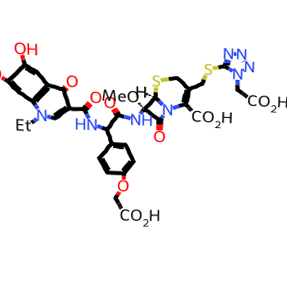 CCn1cc(C(=O)NC(C(=O)N[C@]2(OC)C(=O)N3C(C(=O)O)=C(CSc4nnnn4CC(=O)O)CS[C@@H]32)c2ccc(OCC(=O)O)cc2)c(=O)c2cc(O)c(O)cc21